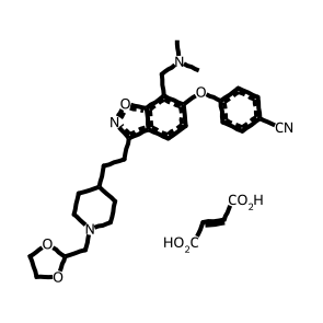 CN(C)Cc1c(Oc2ccc(C#N)cc2)ccc2c(CCC3CCN(CC4OCCO4)CC3)noc12.O=C(O)C=CC(=O)O